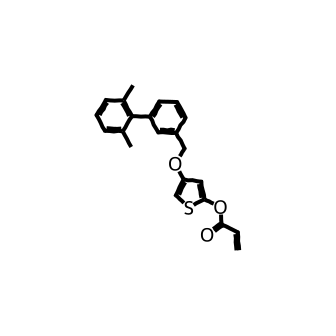 C=CC(=O)Oc1cc(OCc2cccc(-c3c(C)cccc3C)c2)cs1